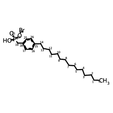 CCCCCCCCCCCCCCCc1ccc(CP(=O)(O)OBr)cc1